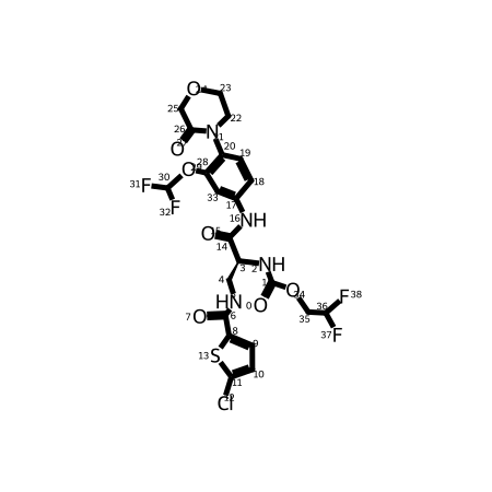 O=C(N[C@@H](CNC(=O)c1ccc(Cl)s1)C(=O)Nc1ccc(N2CCOCC2=O)c(OC(F)F)c1)OCC(F)F